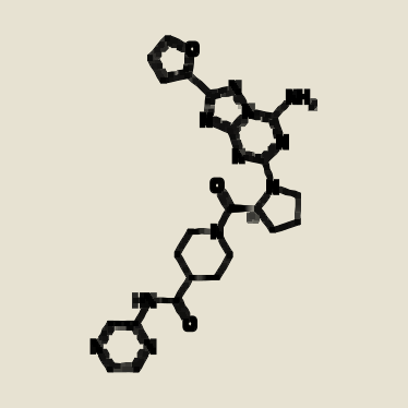 Nc1nc(N2CCC[C@H]2C(=O)N2CCC(C(=O)Nc3cnccn3)CC2)nc2nc(-c3ccco3)nn12